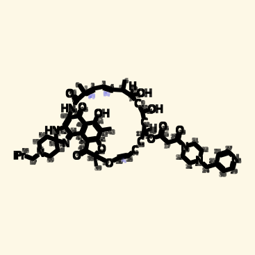 C/C1=C/C=C/C(C)[C@H](O)CC(O)C[C@H](OC(=O)CC(=O)N2CCN(Cc3ccncc3)CC2)CC/C=C/O[C@@]2(C)Oc3c(C)c(O)c4c(c3C2=O)C2=NC3(CCN(CC(C)C)CC3)NC2=C(NC1=O)C4=O